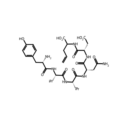 C=CCC(NC(=O)[C@H](CC(=O)O)NC(=O)[C@H](CC(N)=O)NC(=O)[C@@H](NC(=O)[C@@H](NC(=O)[C@@H](N)Cc1ccc(O)cc1)C(C)C)C(C)C)C(=O)O